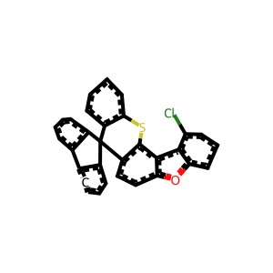 Clc1cccc2oc3ccc4c(c3c12)Sc1ccccc1C41c2ccccc2-c2ccccc21